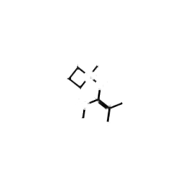 COC(O[Si]1(C)CCC1)=C(C)C